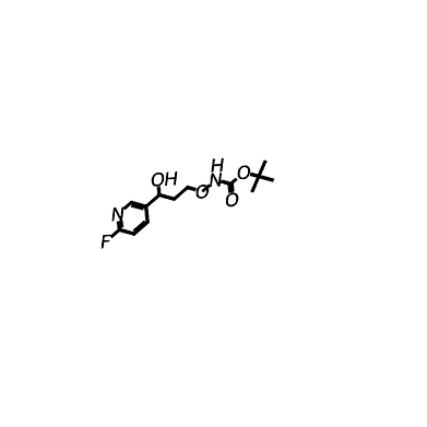 CC(C)(C)OC(=O)NOCCC(O)c1ccc(F)nc1